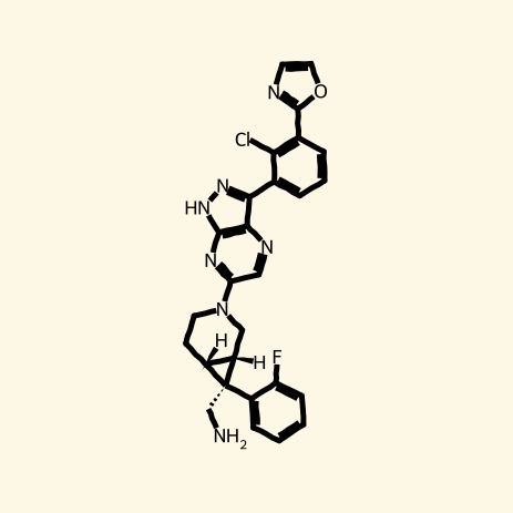 NC[C@]1(c2ccccc2F)[C@@H]2CCN(c3cnc4c(-c5cccc(-c6ncco6)c5Cl)n[nH]c4n3)C[C@@H]21